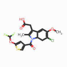 COC1=C(Cl)CC2C(=C1)C(CC(=O)O)=C(C)N2C(=O)c1csc(OC(F)F)c1